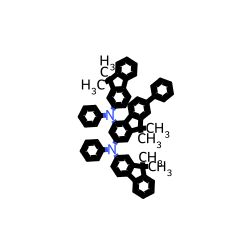 CC1(C)c2ccccc2-c2ccc(N(c3ccccc3)c3cc(N(c4ccccc4)c4ccc5c(c4)C(C)(C)c4ccccc4-5)c4c(c3)C(C)(C)c3cc(-c5ccccc5)ccc3-4)cc21